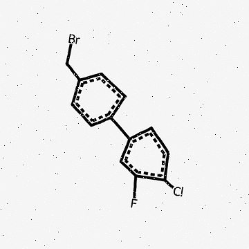 Fc1cc(-c2ccc(CBr)cc2)ccc1Cl